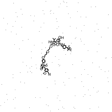 COc1cc(N2C(=O)C(C)(C)N(c3ccc(OCCCCOCCCOCC(=O)N[C@H](C(=O)N4C[C@H](O)C[C@H]4C(=O)NCc4ccc(-c5scnc5C)cc4)C(C)C)cc3)C2=S)ccc1C#N